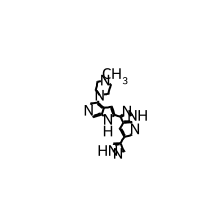 CN1CCN(c2cncc3[nH]c(-c4n[nH]c5ncc(-c6cn[nH]c6)cc45)cc23)CC1